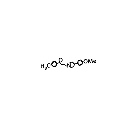 COc1ccc(C2=CCN(CCCC(=O)c3ccc(C)cc3)CC2)cc1